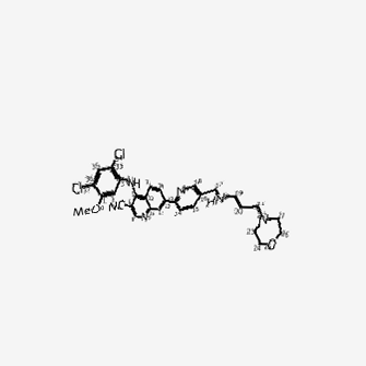 COc1cc(Nc2c(C#N)cnc3cc(-c4ccc(CNCCCN5CCOCC5)cn4)ccc23)c(Cl)cc1Cl